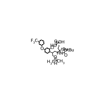 C[SiH](C)OCC(CCC(CCP(=O)(O)O)(NC(=O)OC(C)(C)C)C(C)(C)C)c1ccc(Oc2cccc(C(F)(F)F)c2)cc1Cl